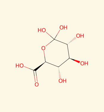 O=C(O)[C@H]1OC(O)(O)[C@H](O)[C@@H](O)[C@@H]1O